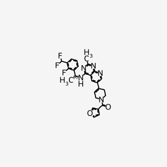 Cc1nc(N[C@H](C)c2cccc(C(F)F)c2F)c2cc(C3=CCN(C(=O)c4ccoc4)CC3)cnc2n1